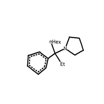 CCCCCCC(CC)(c1ccccc1)N1CCCC1